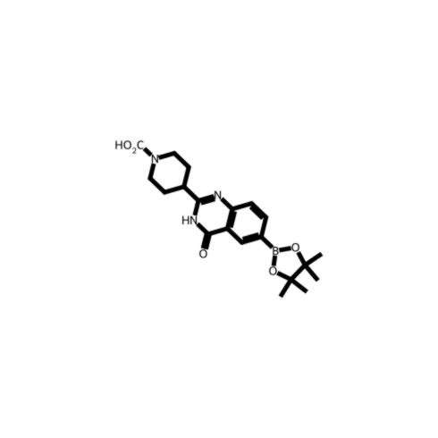 CC1(C)OB(c2ccc3nc(C4CCN(C(=O)O)CC4)[nH]c(=O)c3c2)OC1(C)C